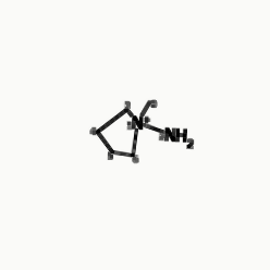 C[N+]1(N)CCCC1